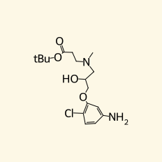 CN(CCC(=O)OC(C)(C)C)CC(O)COc1cc(N)ccc1Cl